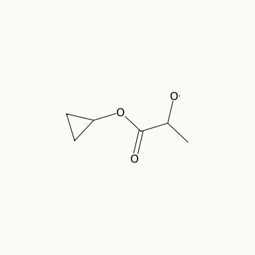 CC([O])C(=O)OC1CC1